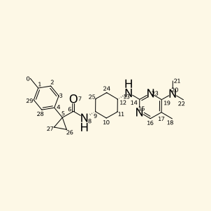 Cc1ccc(C2(C(=O)N[C@H]3CC[C@@H](Nc4ncc(C)c(N(C)C)n4)CC3)CC2)cc1